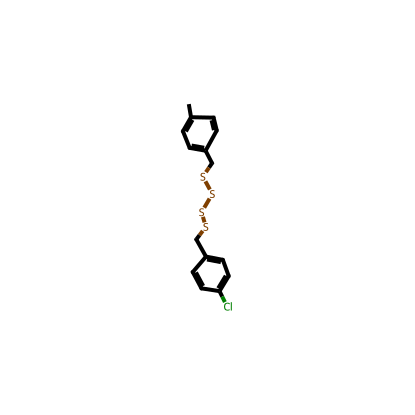 Cc1ccc(CSSSSCc2ccc(Cl)cc2)cc1